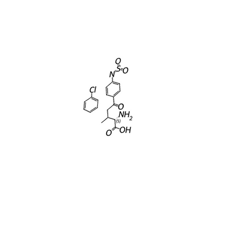 CC(CC(=O)c1ccc(N=S(=O)=O)cc1)[C@H](N)C(=O)O.Clc1ccccc1